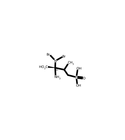 CC(CP(=O)(O)O)[C@@](N)(C(=O)O)N(Br)Br